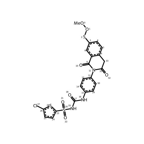 COOSc1ccc2c(c1)C(=O)N(c1ccc(NC(=O)NS(=O)(=O)c3ccc(Cl)s3)cc1)C(=O)C2